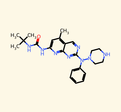 Cc1cc(NC(=O)NC(C)(C)C)nc2nc(N(c3ccccc3)N3CCNCC3)ncc12